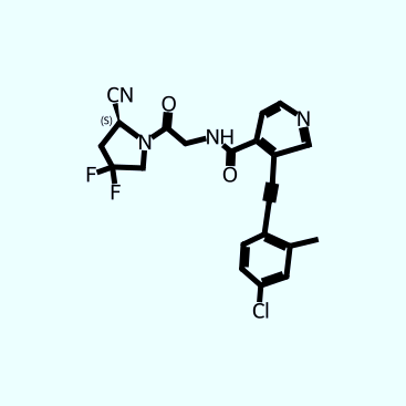 Cc1cc(Cl)ccc1C#Cc1cnccc1C(=O)NCC(=O)N1CC(F)(F)C[C@H]1C#N